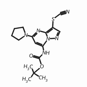 CC(C)(C)OC(=O)Nc1cc(N2CCCC2)nc2c(SC#N)cnn12